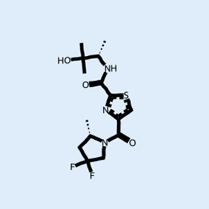 C[C@H](NC(=O)c1nc(C(=O)N2CC(F)(F)C[C@@H]2C)cs1)C(C)(C)O